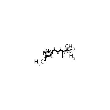 CCc1cn(CCCNC(C)C)nn1